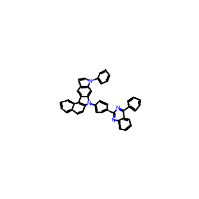 c1ccc(-c2nc(-c3ccc(-n4c5cc6c(ccn6-c6ccccc6)cc5c5c6ccccc6ccc54)cc3)nc3ccccc23)cc1